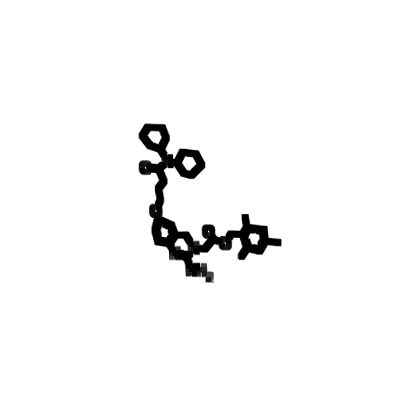 Cc1cc(C)c(COC(=O)CN2Cc3cc(OCCCC(=O)N(C4CCCCC4)C4CCCCC4)ccc3N=C2N)c(C)c1